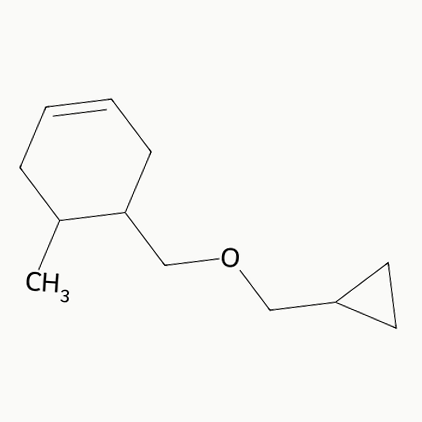 CC1CC=CCC1COCC1CC1